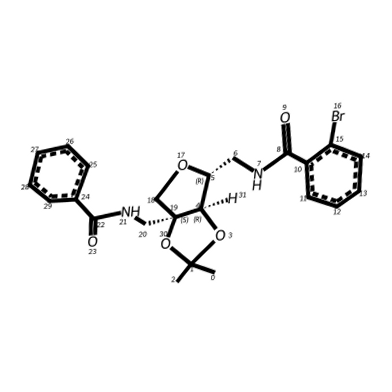 CC1(C)O[C@@H]2[C@@H](CNC(=O)c3ccccc3Br)OC[C@]2(CNC(=O)c2ccccc2)O1